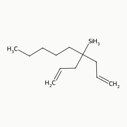 C=CCC([SiH3])(CC=C)CCCCC